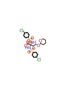 O=C(O)C(CCOC1CCCCO1)(NS(=O)(=O)c1ccc(Cl)cc1)NS(=O)(=O)c1ccc(Cl)cc1